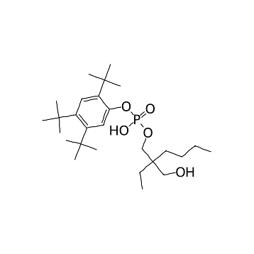 CCCCC(CC)(CO)COP(=O)(O)Oc1cc(C(C)(C)C)c(C(C)(C)C)cc1C(C)(C)C